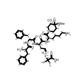 C=CC[C@@H](NC(=O)[C@@H](Cc1ccccc1)NC(=O)[C@H](N)Cc1ccccc1)C(=O)N[C@H](CCCCN)C(=O)N1CCC(NC)(C(=O)O)CC1.O=C(O)C(F)(F)F